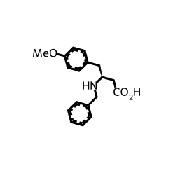 COc1ccc(C[C@@H](CC(=O)O)NCc2ccccc2)cc1